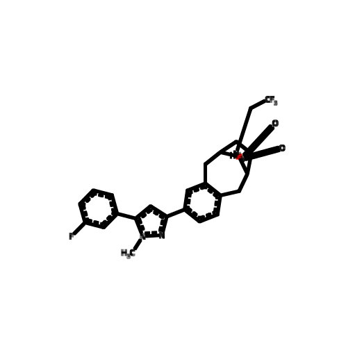 Cn1nc(-c2ccc3c(c2)CC2CCC(C3)C23CN(CC(F)(F)F)S(=O)(=O)N3)cc1-c1cccc(F)c1